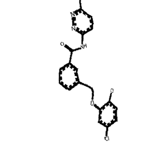 O=C(Nc1ccc(Cl)nn1)c1cccc(COc2cc(Cl)ccc2Cl)c1